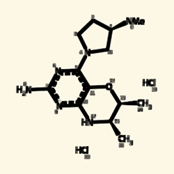 CN[C@@H]1CCN(c2nc(N)nc3c2O[C@@H](C)[C@@H](C)N3)C1.Cl.Cl